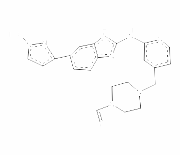 Cn1ccc(-c2ccc3nc(Nc4cc(CN5CCN(C=O)CC5)ccn4)[nH]c3c2)n1